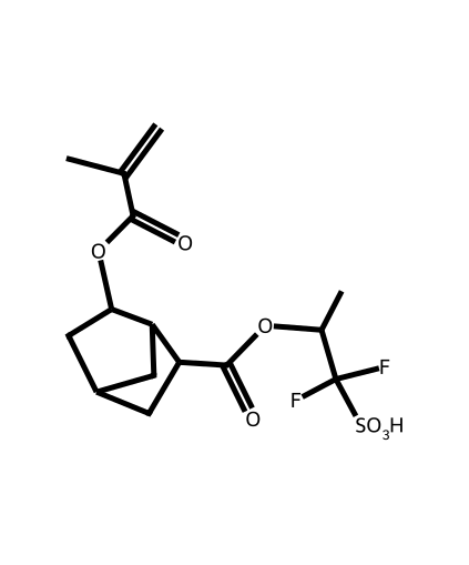 C=C(C)C(=O)OC1CC2CC(C(=O)OC(C)C(F)(F)S(=O)(=O)O)C1C2